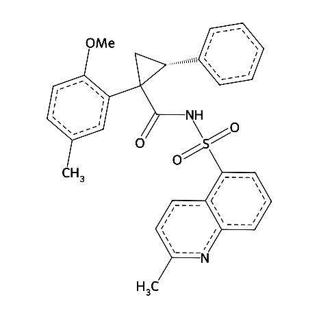 COc1ccc(C)cc1C1(C(=O)NS(=O)(=O)c2cccc3nc(C)ccc23)C[C@@H]1c1ccccc1